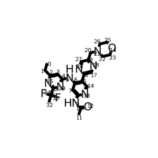 CCc1cc(Nc2cc(NC(C)=O)ncc2-c2cnc(CN3CCOCC3)cn2)nc(C(C)(F)F)n1